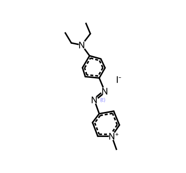 CCN(CC)c1ccc(/N=N/c2cc[n+](C)cc2)cc1.[I-]